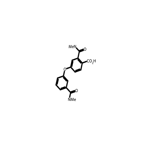 CNC(=O)c1cccc(Oc2ccc(C(=O)O)c(C(=O)NC)c2)c1